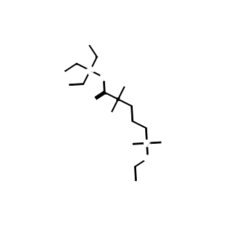 CCO[Si](C)(C)CCCC(C)(C)C(=O)O[Si](CC)(CC)CC